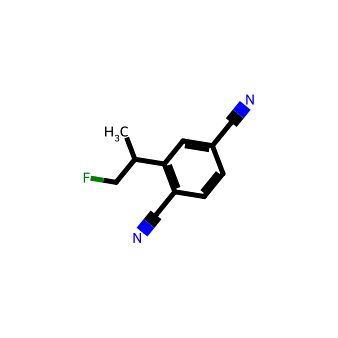 C[C](CF)c1cc(C#N)ccc1C#N